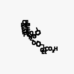 CCOC(Cc1ccc(OCCN(CC(F)(F)C(F)(F)C(F)(F)C(F)(F)C(F)(F)C(F)(F)F)C(=O)Oc2cccc(C)c2)cc1)C(=O)O